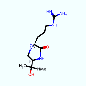 CNC(C)(O)[C@H]1CN[C@@H](CCCNC(=N)N)C(=O)N1